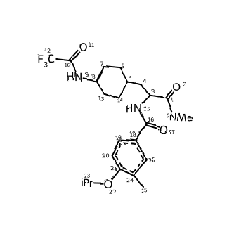 CNC(=O)C(CC1CCC(NC(=O)C(F)(F)F)CC1)NC(=O)c1ccc(OC(C)C)c(C)c1